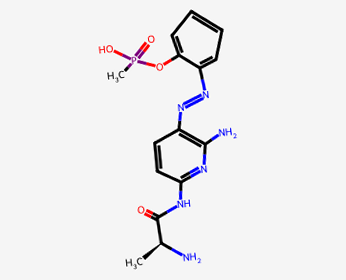 C[C@H](N)C(=O)Nc1ccc(/N=N/c2ccccc2OP(C)(=O)O)c(N)n1